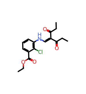 CCOC(=O)c1cccc(NC=C(C(=O)CC)C(=O)CC)c1Cl